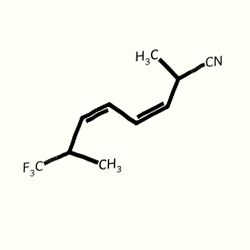 CC(C#N)/C=C\C=C/C(C)C(F)(F)F